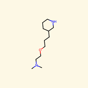 CN(C)CCOCCCC1CCCNC1